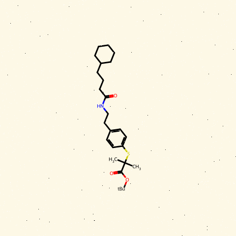 CC(C)(C)OC(=O)C(C)(C)Sc1ccc(CCNC(=O)CCCC2CCCCC2)cc1